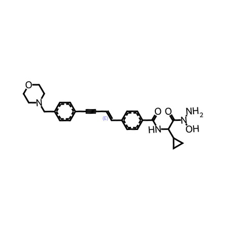 NN(O)C(=O)C(NC(=O)c1ccc(/C=C/C#Cc2ccc(CN3CCOCC3)cc2)cc1)C1CC1